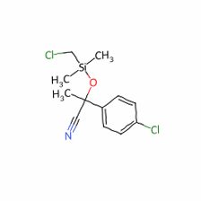 CC(C#N)(O[Si](C)(C)CCl)c1ccc(Cl)cc1